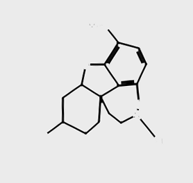 COc1ccc2c3c1OC1CC(O)CCC31CCN(C)C2